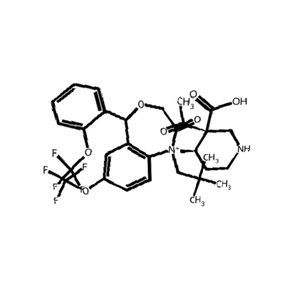 CC(=O)[C@@]1(C(=O)O)CNCC[C@H]1[N+]1(CC(C)(C)C)C(=O)COC(c2ccccc2OC(F)(F)F)c2cc(OC(F)(F)F)ccc21